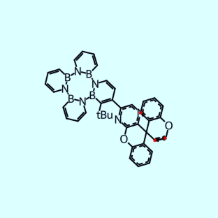 CC(C)(C)C1=C(c2cnc3c(n2)Oc2ccccc2C32c3ccccc3Oc3ccccc32)C=CN2B3C=CC=CN3B3C=CC=CN3B3C=CC=CN3B12